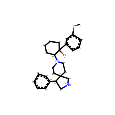 COc1cccc(C2(O)CCCCC2N2CCC3(CC2)CNCC3c2ccccc2)c1